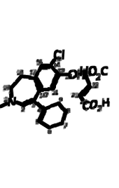 CN1C=C(C2=CCCCC2)c2cc(O)c(Cl)cc2CC1.O=C(O)C=CC(=O)O